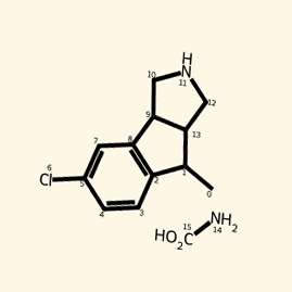 CC1c2ccc(Cl)cc2C2CNCC12.NC(=O)O